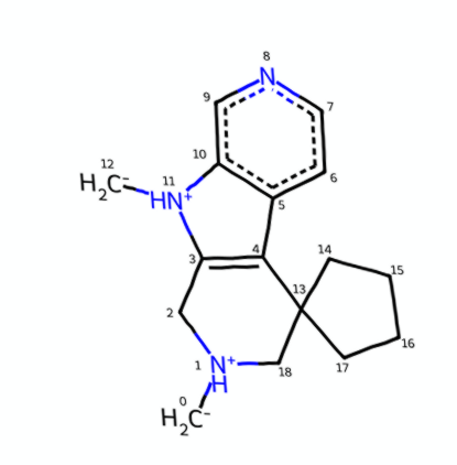 [CH2-][NH+]1CC2=C(c3ccncc3[NH+]2[CH2-])C2(CCCC2)C1